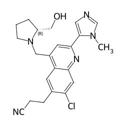 Cn1cncc1-c1cc(CN2CCC[C@@H]2CO)c2cc(CCC#N)c(Cl)cc2n1